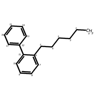 CCCCCCc1ccccc1-c1[c]cccc1